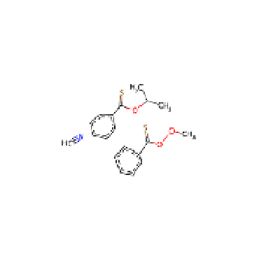 C#N.CC(C)OC(=S)c1ccccc1.COOC(=S)c1ccccc1